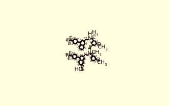 COc1cc(F)cc(C(C)NCCc2cc(-c3ccc(C(F)(F)F)cc3)c3ccccc3c2)c1.COc1cccc(C(C)NCCc2cc(-c3ccc(C(F)(F)F)cc3)c3ccc(F)cc3c2)c1.Cl